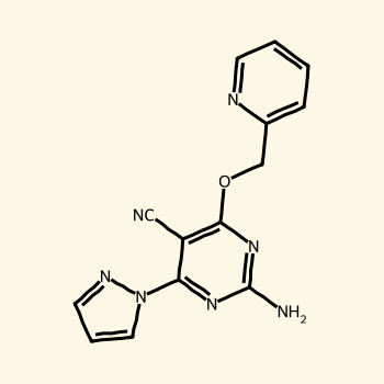 N#Cc1c(OCc2ccccn2)nc(N)nc1-n1cccn1